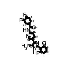 Nc1[nH]c(-c2c(F)cccc2Cl)nc1-c1ccc(NC(=O)c2ccc(F)c(F)c2)nc1